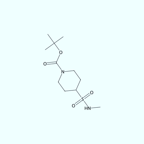 CNS(=O)(=O)C1CCN(C(=O)OC(C)(C)C)CC1